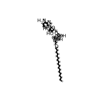 CCCCCCCCCCCCCCCCCCOCCOP(=O)(O)OP(=O)(O)COC[C@H]1O[C@@H](n2cnc3c(N)ccnc32)C(C)(O)[C@H]1O